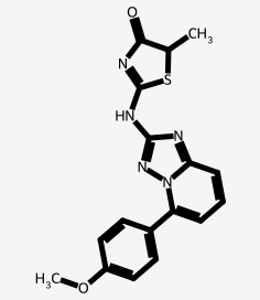 COc1ccc(-c2cccc3nc(NC4=NC(=O)C(C)S4)nn23)cc1